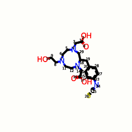 O=C(O)CN1CCN(CCO)CCN(CC(=O)O)C(Cc2ccc(N=C=S)cc2)C1